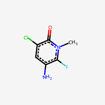 Cn1c(F)c(N)cc(Cl)c1=O